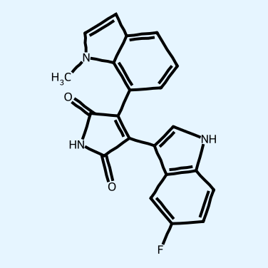 Cn1ccc2cccc(C3=C(c4c[nH]c5ccc(F)cc45)C(=O)NC3=O)c21